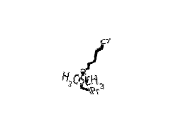 CC(C)C[Si](C)(C)OCCCCCCl